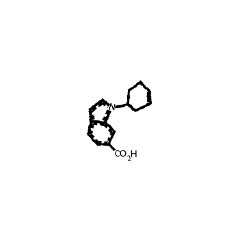 O=C(O)c1ccc2ccn(C3CC=CCC3)c2c1